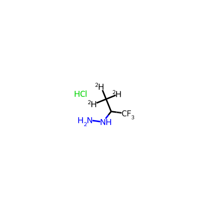 Cl.[2H]C([2H])([2H])C(NN)C(F)(F)F